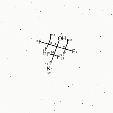 OC(C(F)(F)F)(C(F)(F)F)C(F)(F)F.[K]